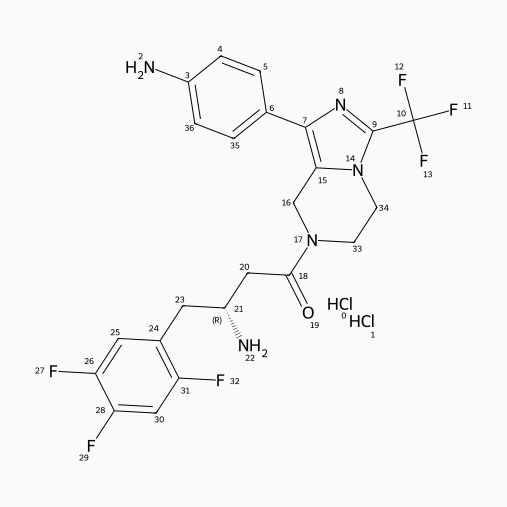 Cl.Cl.Nc1ccc(-c2nc(C(F)(F)F)n3c2CN(C(=O)C[C@H](N)Cc2cc(F)c(F)cc2F)CC3)cc1